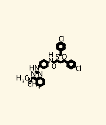 CN(C)c1nc(NC2CCC(NC(=O)C(CC(=O)c3ccc(Cl)cc3)SCc3ccc(Cl)cc3)CC2)nc2c1CCCC2